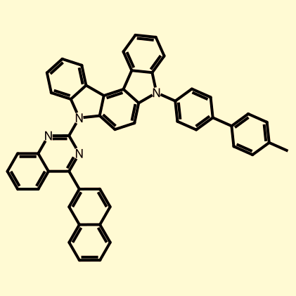 Cc1ccc(-c2ccc(-n3c4ccccc4c4c5c6ccccc6n(-c6nc(-c7ccc8ccccc8c7)c7ccccc7n6)c5ccc43)cc2)cc1